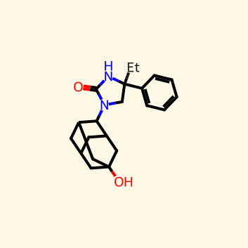 CCC1(c2ccccc2)CN(C2C3CC4CC2CC(O)(C4)C3)C(=O)N1